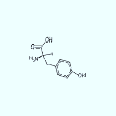 N[C@@](I)(Cc1ccc(O)cc1)C(=O)O